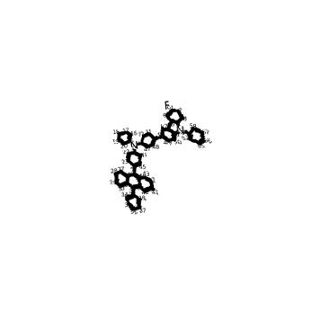 Fc1ccc2c(c1)c1cc(-c3ccc(N(c4ccccc4)c4ccc(-c5c6ccccc6c(-c6ccccc6)c6ccccc56)cc4)cc3)ccc1n2-c1ccccc1